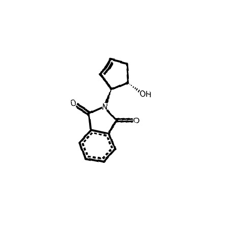 O=C1c2ccccc2C(=O)N1[C@H]1C=CC[C@@H]1O